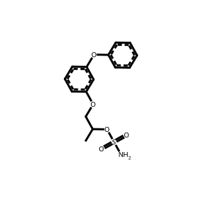 CC(COc1cccc(Oc2ccccc2)c1)OS(N)(=O)=O